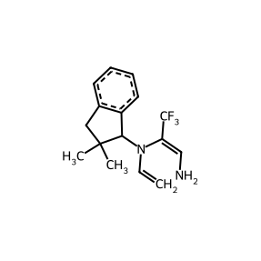 C=CN(/C(=C\N)C(F)(F)F)C1c2ccccc2CC1(C)C